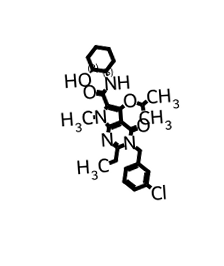 CCc1nc2c(c(OC(C)C)c(C(=O)N[C@H]3CCCC[C@H]3O)n2C)c(=O)n1Cc1cccc(Cl)c1